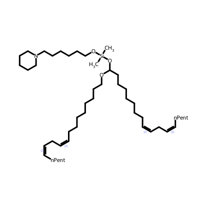 CCCCC/C=C\C/C=C\CCCCCCCCOC(CCCCCCC/C=C\C/C=C\CCCCC)O[Si](C)(C)OCCCCCCN1CCCCC1